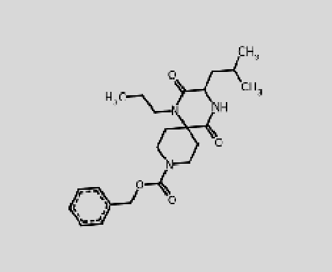 CCCN1C(=O)C(CC(C)C)NC(=O)C12CCN(C(=O)OCc1ccccc1)CC2